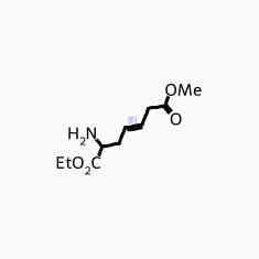 CCOC(=O)C(N)C/C=C/CC(=O)OC